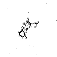 Cc1cccc(O[PH](=O)N[C@@H](C)C(=O)OC(C)C)c1